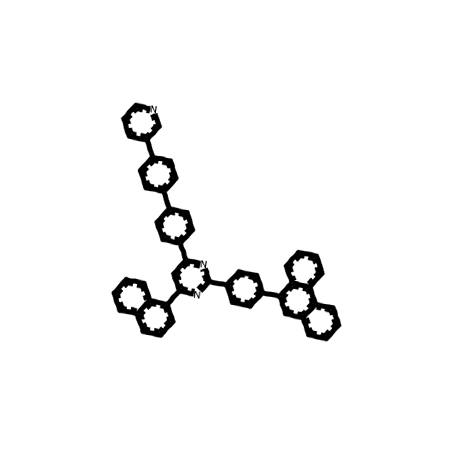 c1cncc(-c2ccc(-c3ccc(-c4cc(-c5cccc6ccccc56)nc(-c5ccc(-c6cc7ccccc7c7ccccc67)cc5)n4)cc3)cc2)c1